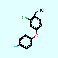 O=Cc1ccc(Oc2ccc(F)cc2)cc1Cl